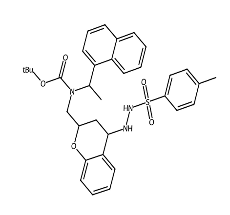 Cc1ccc(S(=O)(=O)NNC2CC(CN(C(=O)OC(C)(C)C)C(C)c3cccc4ccccc34)Oc3ccccc32)cc1